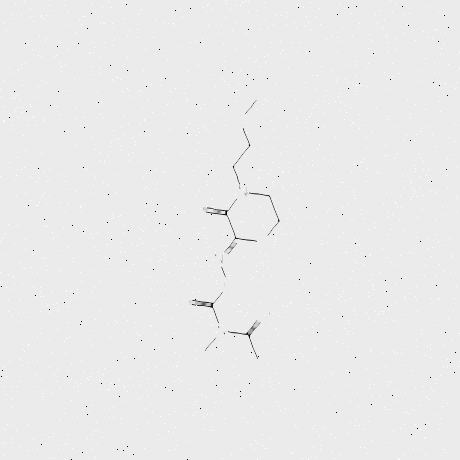 CSCCN1CCSC(=NOC(=O)N(C)C(C)=O)C1=O